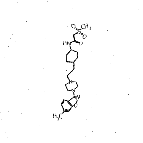 Cc1ccc2c(N3CCN(CCC4CCC(NC(=O)CS(C)(=O)=O)CC4)CC3)noc2c1